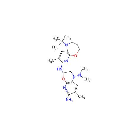 Cc1cc2c(nc1N)OC(Nc1nc3c(cc1C)N(C(C)(C)C)CCCO3)CN2N(C)C